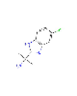 CC(C)(N)c1nc2cc(Cl)ccc2[nH]1